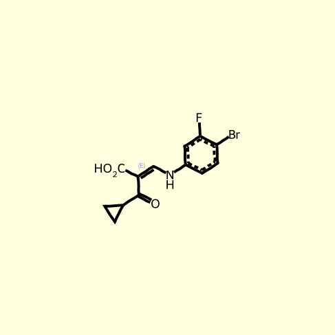 O=C(O)/C(=C/Nc1ccc(Br)c(F)c1)C(=O)C1CC1